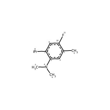 Cc1cc(N(C)C)c(C(C)C)cc1F